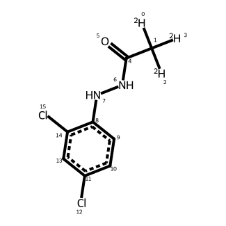 [2H]C([2H])([2H])C(=O)NNc1ccc(Cl)cc1Cl